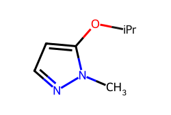 CC(C)Oc1ccnn1C